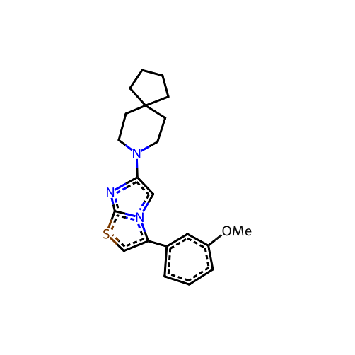 COc1cccc(-c2csc3nc(N4CCC5(CCCC5)CC4)cn23)c1